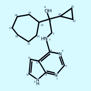 OC(CNc1ncnc2[nH]ccc12)(C1CCCCCC1)C1CC1